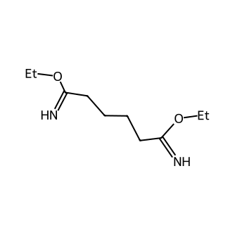 CCOC(=N)CCCCC(=N)OCC